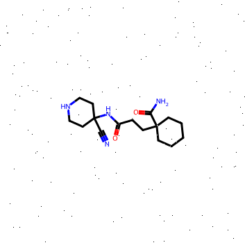 N#CC1(NC(=O)[CH]CC2(C(N)=O)CCCCC2)CCNCC1